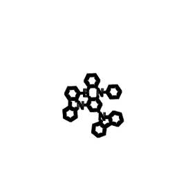 c1ccc(N2c3ccccc3B3c4c2cc(-n2c5ccccc5c5ccccc52)cc4-n2c4ccccc4c4cccc3c42)cc1